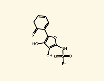 CCS(=O)(=O)Nc1oc(C2=CC=CCC2=S)c(O)c1O